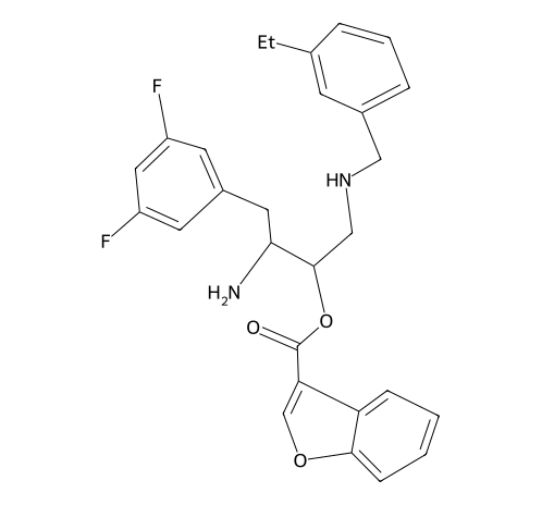 CCc1cccc(CNCC(OC(=O)c2coc3ccccc23)C(N)Cc2cc(F)cc(F)c2)c1